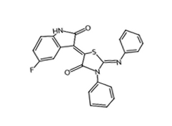 O=C1Nc2ccc(F)cc2/C1=C1/S/C(=N\c2ccccc2)N(c2ccccc2)C1=O